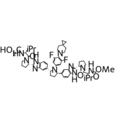 COC(=O)N[C@H](C(=O)N1CCC[C@H]1c1nc2cc([C@H]3CC[C@H](c4ccc5[nH]c([C@@H]6CCCN6C(=O)[C@@H](NC(=O)O)C(C)C)nc5c4)N3c3cc(F)c(N4CCC5(CC4)CC5)c(F)c3)ccc2[nH]1)C(C)C